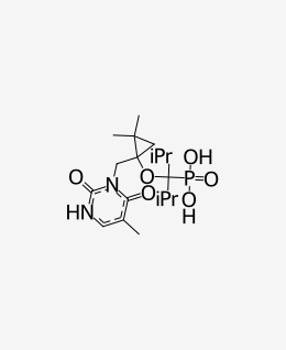 Cc1c[nH]c(=O)n(CC2(OC(C(C)C)(C(C)C)P(=O)(O)O)CC2(C)C)c1=O